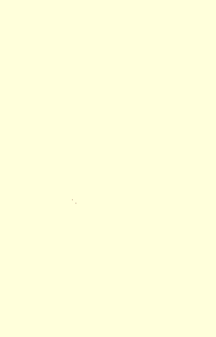 C#Cc1c(F)ccc2c(F)ccc(N(C)C)c12